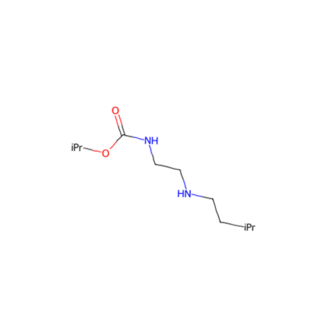 CC(C)CCNCCNC(=O)OC(C)C